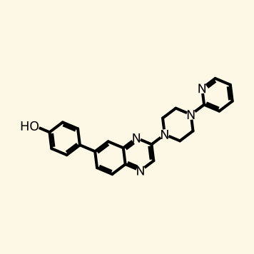 Oc1ccc(-c2ccc3ncc(N4CCN(c5ccccn5)CC4)nc3c2)cc1